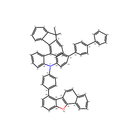 CC1(C)c2ccccc2-c2c(-c3ccccc3N(c3ccc(-c4ccc(-c5ccccc5)cc4)cc3)c3ccc(-c4cccc5oc6c7ccccc7ccc6c45)cc3)cccc21